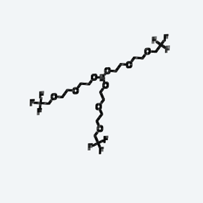 FC(F)(F)COCCOCCOB(OCCOCCOCC(F)(F)F)OCCOCCOCC(F)(F)F